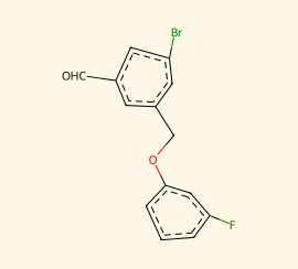 O=Cc1cc(Br)cc(COc2cccc(F)c2)c1